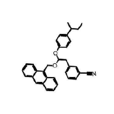 CCC(C)c1ccc(OC(Cc2cccc(C#N)c2)OCc2c3ccccc3cc3ccccc23)cc1